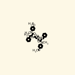 COc1ccc(N(C)C(=O)[C@H](Cc2ccccc2)NS(=O)(=O)CC(=O)N[C@H](C(=O)N(C)c2ccc(OC)cc2)[C@H](C)c2ccccc2)cc1